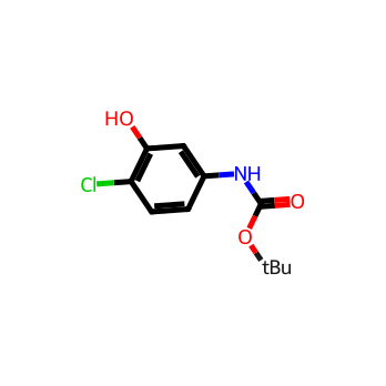 CC(C)(C)OC(=O)Nc1ccc(Cl)c(O)c1